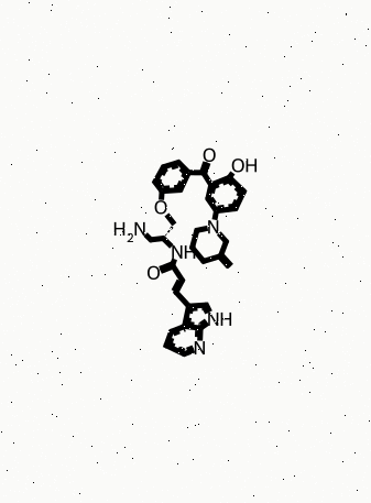 C=C1CCCN(c2ccc(O)c(C(=O)c3cccc(OC[C@@H](CN)NC(=O)/C=C/c4c[nH]c5ncccc45)c3)c2)C1